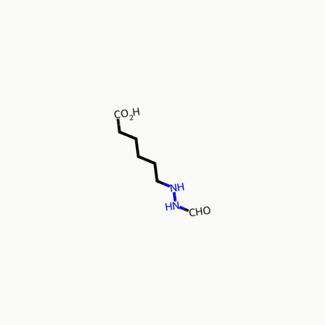 O=CNNCCCCCC(=O)O